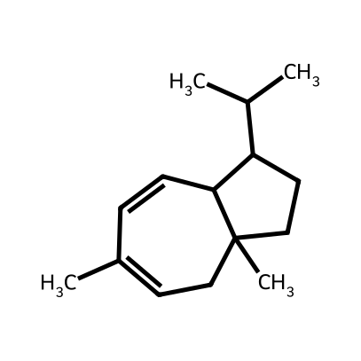 CC1=CCC2(C)CCC(C(C)C)C2C=C1